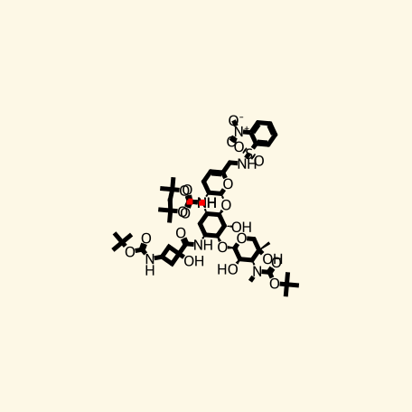 CN(C(=O)OC(C)(C)C)[C@@H]1[C@@H](O)[C@@H](O[C@@H]2[C@@H](O)[C@H](O[C@H]3OC(CNS(=O)(=O)c4ccccc4[N+](=O)[O-])=CC[C@H]3NC(=O)OC(C)(C)C)[C@@H](NC(=O)OC(C)(C)C)C[C@H]2NC(=O)C2(O)CC(NC(=O)OC(C)(C)C)C2)OC[C@]1(C)O